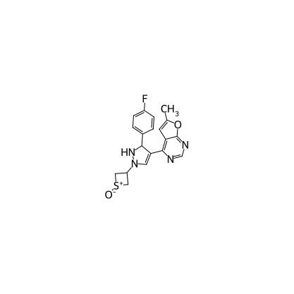 Cc1cc2c(C3=CN(C4C[S+]([O-])C4)NC3c3ccc(F)cc3)ncnc2o1